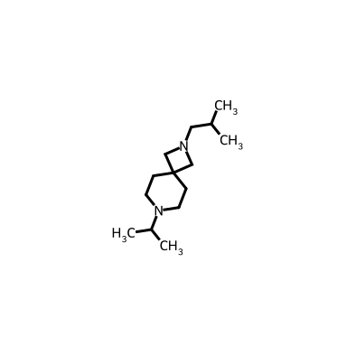 CC(C)CN1CC2(CCN(C(C)C)CC2)C1